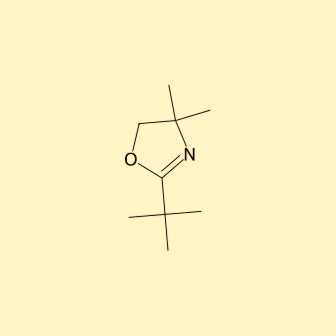 CC1(C)COC(C(C)(C)C)=N1